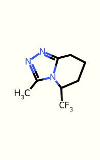 Cc1nnc2n1C(C(F)(F)F)CCC2